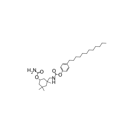 CCCCCCCCCCCCc1ccc(OC(=O)NCC2(C)CC(OC(N)=O)CC(C)(C)C2)cc1